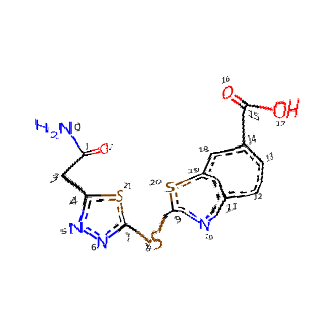 NC(=O)Cc1nnc(Sc2nc3ccc(C(=O)O)cc3s2)s1